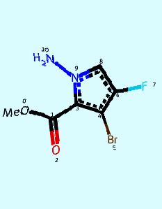 COC(=O)c1c(Br)c(F)cn1N